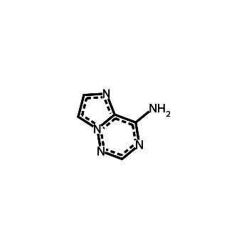 Nc1ncnn2ccnc12